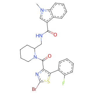 Cn1cc(C(=O)NCC2CCCCN2C(=O)c2nc(Br)sc2-c2ccccc2F)c2ccccc21